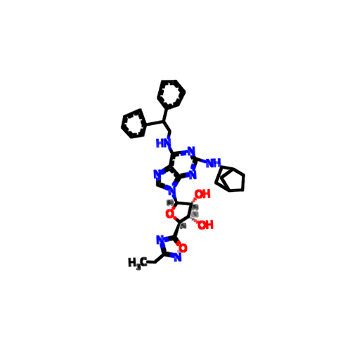 CCc1noc([C@H]2O[C@@H](n3cnc4c(NCC(c5ccccc5)c5ccccc5)nc(NC5CC6CCC5C6)nc43)[C@H](O)[C@@H]2O)n1